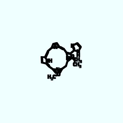 CCc1c(-c2ncc[nH]2)c2n(OC)c1Cc1ccc(n1OC)C=c1ccc([nH]1)=CC1=NC(=C2)C=C1